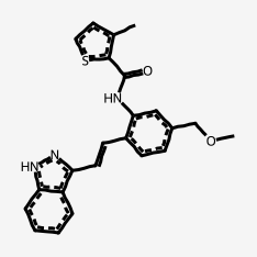 COCc1ccc(C=Cc2n[nH]c3ccccc23)c(NC(=O)c2sccc2C)c1